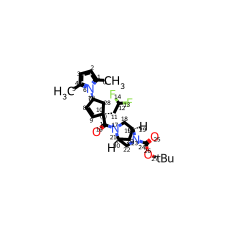 Cc1ccc(C)n1[C@@H]1C=C[C@](CC(F)F)(C(=O)N2C[C@@H]3C[C@H]2CN3C(=O)OC(C)(C)C)C1